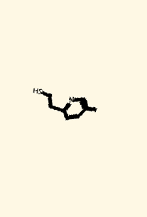 Cc1ccc(CCS)nc1